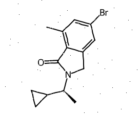 Cc1cc(Br)cc2c1C(=O)N([C@@H](C)C1CC1)C2